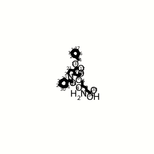 NC(CC(=O)COC(=O)C1C(C(=O)OCc2ccccc2)CCN1C(=O)c1ccccc1)C(=O)O